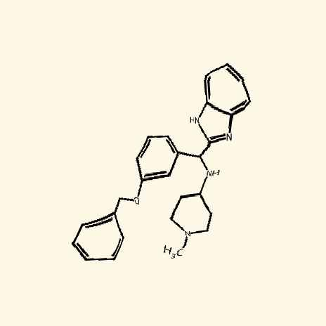 CN1CCC(NC(c2cccc(OCc3ccccc3)c2)c2nc3ccccc3[nH]2)CC1